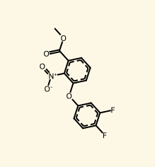 COC(=O)c1cccc(Oc2ccc(F)c(F)c2)c1[N+](=O)[O-]